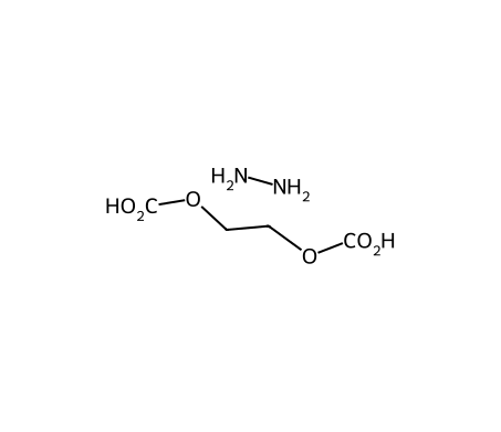 NN.O=C(O)OCCOC(=O)O